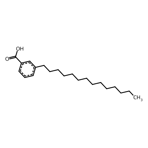 CCCCCCCCCCCCCCc1cccc(C(=O)O)c1